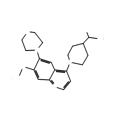 COc1cc2nccc(N3CCC(C(C)C)CC3)c2cc1N1CCOCC1